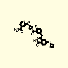 CNC(=O)c1ccnc(N(C)C2CN(C(=O)c3cc(Cc4n[nH]c(=O)c5ccc(OC6CCC6)cc45)ccc3F)C2)c1